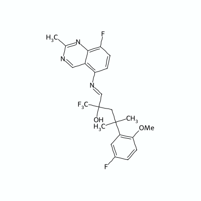 COc1ccc(F)cc1C(C)(C)CC(O)(C=Nc1ccc(F)c2nc(C)ncc12)C(F)(F)F